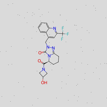 O=C([C@@H]1CCCc2nn(Cc3cc(C(F)(F)F)nc4ccccc34)c(=O)n21)N1CC(O)C1